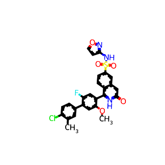 COc1cc(-c2ccc(Cl)c(C)c2)c(F)cc1-c1[nH]c(=O)cc2cc(S(=O)(=O)Nc3ccon3)ccc12